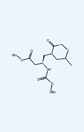 CC1CN(C[C@H](CC(=O)OC(C)(C)C)NC(=O)OC(C)(C)C)C(=O)CS1